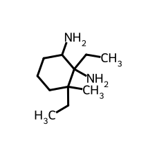 CCC1(C)CCCC(N)C1(N)CC